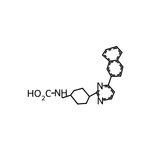 O=C(O)NCC1CCC(c2nccc(-c3ccc4ccccc4c3)n2)CC1